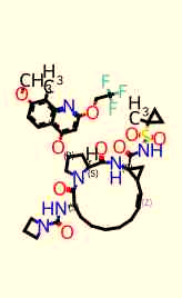 COc1ccc2c(O[C@@H]3C[C@H]4C(=O)N[C@]5(C(=O)NS(=O)(=O)C6(C)CC6)CC5/C=C\CCCCC[C@H](NC(=O)N5CCC5)C(=O)N4C3)cc(OCC(F)(F)F)nc2c1C